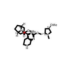 CO[C@@H]1C[C@@H](COc2nc3c(c(N4C[C@H]5CC[C@@H](C4)N5C(=O)OC(C)(C)C)n2)CCNC3)N(C)C1